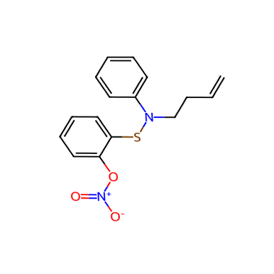 C=CCCN(Sc1ccccc1O[N+](=O)[O-])c1ccccc1